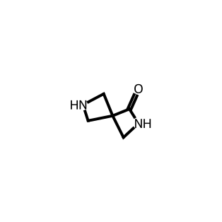 O=C1NCC12CNC2